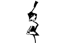 C#Cc1cnn(Cc2cc(C)on2)c1